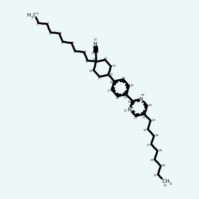 CCCCCCCCCCC1(C#N)CCC(c2ccc(-c3ncc(CCCCCCCCC)cn3)cc2)CC1